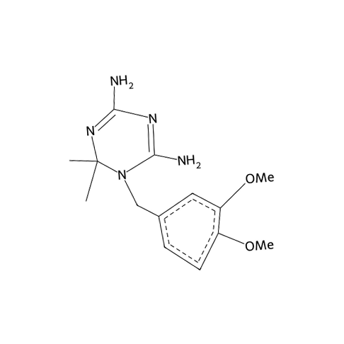 COc1ccc(CN2C(N)=NC(N)=NC2(C)C)cc1OC